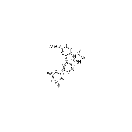 COc1ccc(-n2c(C)nnc2-c2cnc(-c3cc(F)cc(F)c3)cn2)cn1